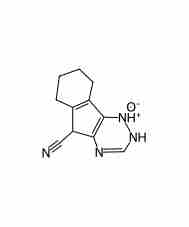 N#CC1C2=C(CCCC2)C2=C1N=CN[NH+]2[O-]